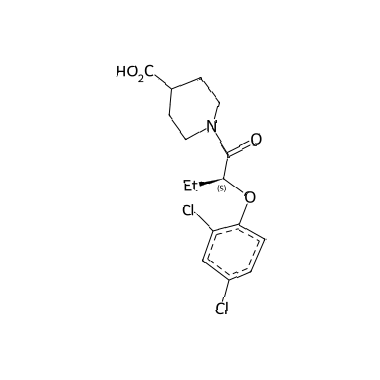 CC[C@H](Oc1ccc(Cl)cc1Cl)C(=O)N1CCC(C(=O)O)CC1